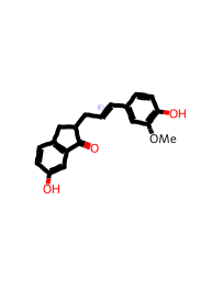 COc1cc(/C=C/CC2Cc3ccc(O)cc3C2=O)ccc1O